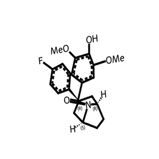 COc1cc(C(=O)N2[C@@H]3CC[C@H]2C[C@@H](c2ccc(F)cc2)C3)cc(OC)c1O